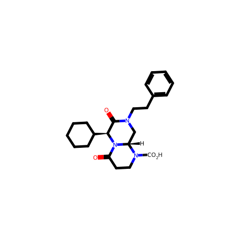 O=C1[C@H](C2CCCCC2)N2C(=O)CCN(C(=O)O)[C@H]2CN1CCc1ccccc1